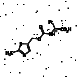 Cc1ncc(COC(=O)N[C@H](C(=O)O)C(C)C)s1